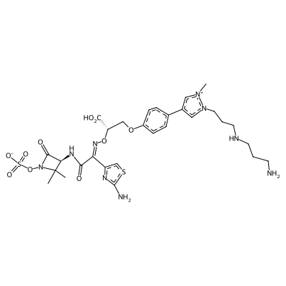 C[n+]1cc(-c2ccc(OC[C@H](O/N=C(/C(=O)N[C@@H]3C(=O)N(OS(=O)(=O)[O-])C3(C)C)c3csc(N)n3)C(=O)O)cc2)cn1CCCNCCCN